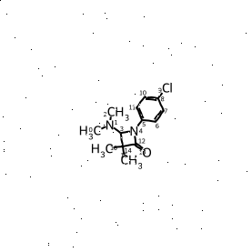 CN(C)C1N(c2ccc(Cl)cc2)C(=O)C1(C)C